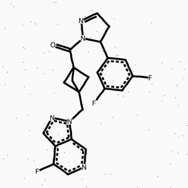 O=C(N1N=CCC1c1cc(F)cc(F)c1)C12CC(Cn3ncc4c(F)cncc43)(C1)C2